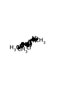 COc1ncc(CN2CCOc3c(Cl)cc(-n4ccc5cc(N(C)C)ccc54)cc3C2)cn1